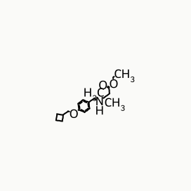 CCOC(=O)CC(C)(C)NCc1ccc(OCC2CCC2)cc1